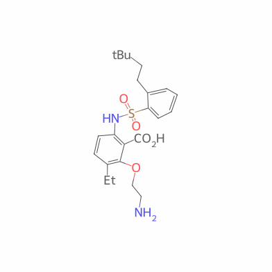 CCc1ccc(NS(=O)(=O)c2ccccc2CCC(C)(C)C)c(C(=O)O)c1OCCN